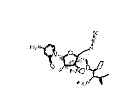 CC(C)C(N)C(=O)OC[C@@]1(CN=[N+]=[N-])O[C@@H](n2ccc(N)cc2=O)[C@H](F)[C@@H]1O